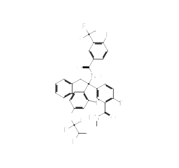 CNC(=O)c1cc(C(Cc2ccccc2)(NC(=O)c2ccc(F)c(C(F)(F)F)c2)c2ccc(OC(F)(F)C(F)F)cc2F)ccc1F